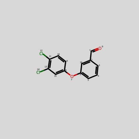 O=Cc1cccc(Oc2ccc(Cl)c(Cl)c2)c1